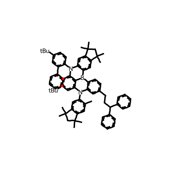 Cc1cc2c(cc1N1c3cc(CCC(c4ccccc4)c4ccccc4)ccc3B3c4cc5c(cc4N(c4ccc(C(C)(C)C)cc4-c4ccccc4)c4cc(C(C)(C)C)cc1c43)C(C)(C)CC5(C)C)C(C)(C)CC2(C)C